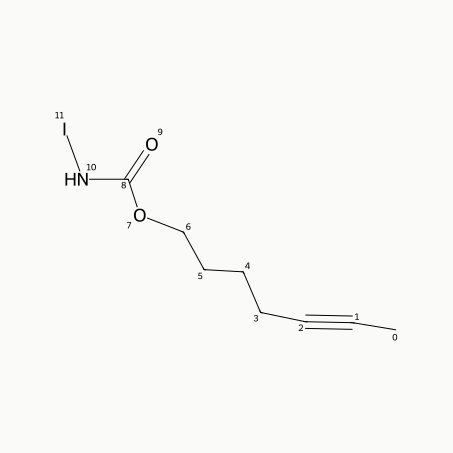 CC#CCCCCOC(=O)NI